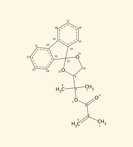 C=C(C)C(=O)OC(C)(C)C1COC2(O1)c1ccccc1-c1ccccc12